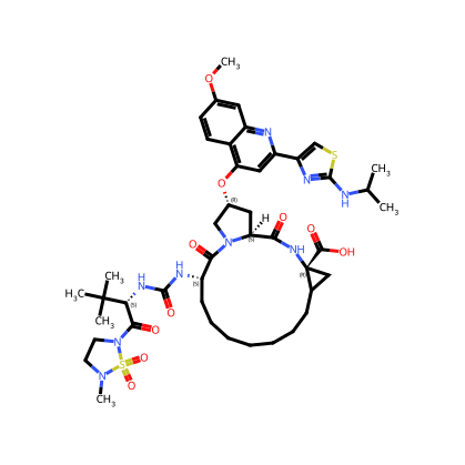 COc1ccc2c(O[C@@H]3C[C@H]4C(=O)N[C@]5(C(=O)O)CC5CCCCCCC[C@H](NC(=O)N[C@H](C(=O)N5CCN(C)S5(=O)=O)C(C)(C)C)C(=O)N4C3)cc(-c3csc(NC(C)C)n3)nc2c1